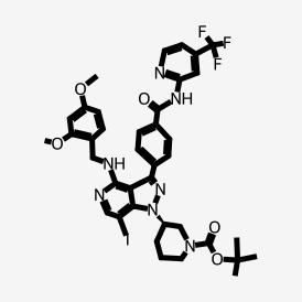 COc1ccc(CNc2ncc(I)c3c2c(-c2ccc(C(=O)Nc4cc(C(F)(F)F)ccn4)cc2)nn3[C@@H]2CCCN(C(=O)OC(C)(C)C)C2)c(OC)c1